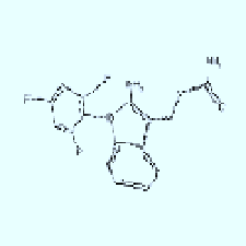 NC(=O)CCc1c(N)n(-c2c(F)cc(F)cc2F)c2ccccc12